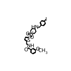 COc1cccc(C(=O)NCc2ccc(S(=O)(=O)N3CCC(NCc4ccc(I)cc4)CC3)s2)c1